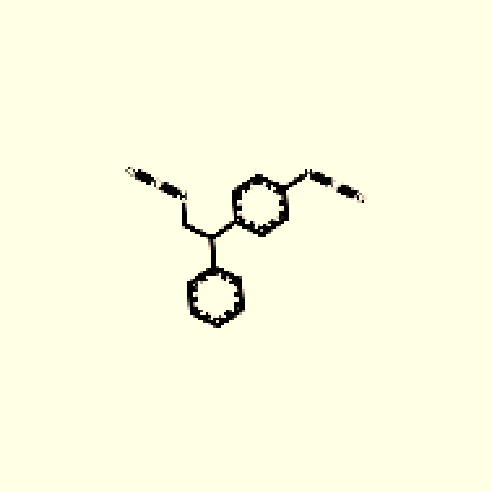 O=C=NCC(c1ccccc1)c1ccc(N=C=O)cc1